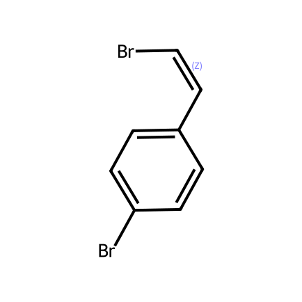 Br/C=C\c1ccc(Br)cc1